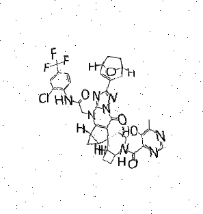 Cc1ncnc(C(=O)N2CC[C@]3(c4c(n(CC(=O)Nc5ccc(C(F)(F)F)cc5Cl)c5nc(C6=C[C@@H]7CC[C@H](C6)O7)nn5c4=O)[C@H]4C[C@H]43)[C@@H]3CC[C@@H]32)c1O